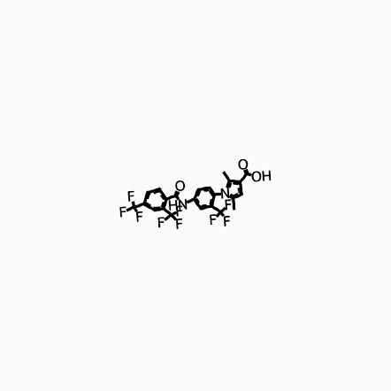 Cc1cc(C(=O)O)c(C)n1-c1ccc(NC(=O)c2ccc(C(F)(F)F)cc2C(F)(F)F)cc1C(F)(F)F